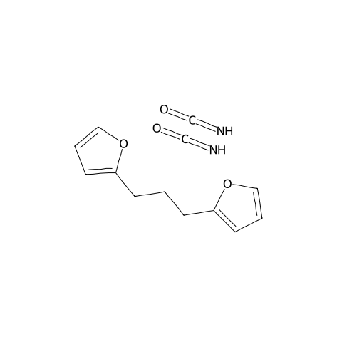 N=C=O.N=C=O.c1coc(CCCc2ccco2)c1